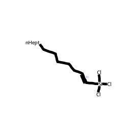 CCCCCCCCCCCC/C=[C]/[Si](Cl)(Cl)Cl